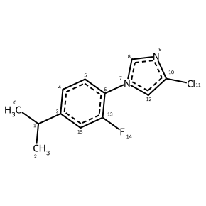 CC(C)c1ccc(-n2cnc(Cl)c2)c(F)c1